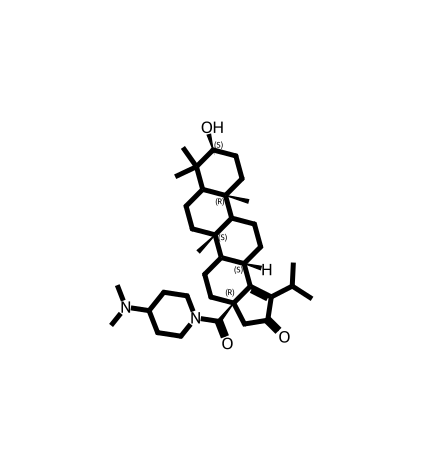 CC(C)C1=C2[C@H]3CCC4[C@@](C)(CCC5C(C)(C)[C@@H](O)CC[C@@]54C)C3CC[C@@]2(C(=O)N2CCC(N(C)C)CC2)CC1=O